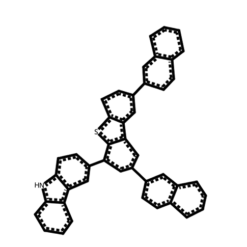 c1ccc2cc(-c3ccc4sc5c(-c6ccc7[nH]c8ccccc8c7c6)cc(-c6ccc7ccccc7c6)cc5c4c3)ccc2c1